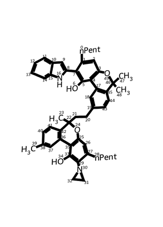 CCCCCc1cc2c(c(O)c1-c1cc3ccccc3[nH]1)-c1cc(CCC3(C)Oc4cc(CCCCC)c(N5CC5)c(O)c4-c4cc(C)ccc43)ccc1C(C)(C)O2